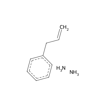 C=CCc1ccccc1.N.N